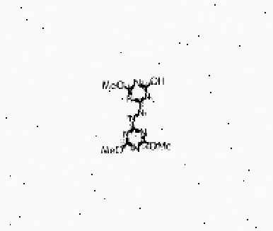 COc1nc(O)nc(/N=N/c2nc(OC)nc(OC)n2)n1